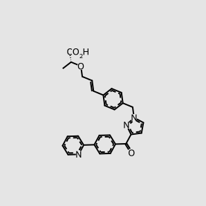 C[C@@H](OC/C=C/c1ccc(Cn2ccc(C(=O)c3ccc(-c4ccccn4)cc3)n2)cc1)C(=O)O